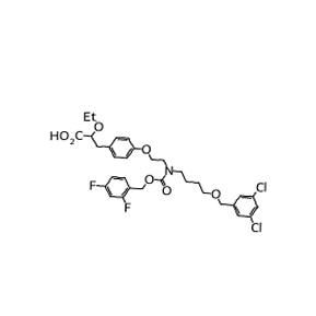 CCOC(Cc1ccc(OCCN(CCCCOCc2cc(Cl)cc(Cl)c2)C(=O)OCc2ccc(F)cc2F)cc1)C(=O)O